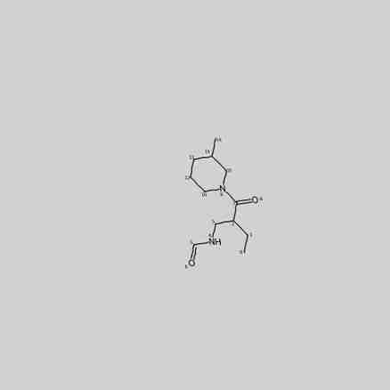 CCC(CNC=O)C(=O)N1CCCC(C)C1